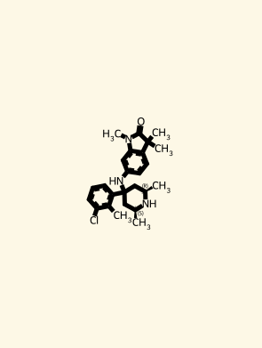 Cc1c(Cl)cccc1C1(Nc2ccc3c(c2)N(C)C(=O)C3(C)C)C[C@@H](C)N[C@@H](C)C1